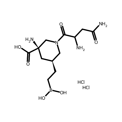 Cl.Cl.NC(=O)CC(N)C(=O)N1C[C@@H](CCB(O)O)C[C@](N)(C(=O)O)C1